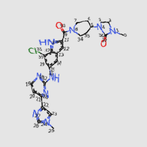 CN1CCN(C2CCN(C(=O)c3cc4cc(Nc5nccc(-c6cn(C)cn6)n5)cc(Cl)c4[nH]3)CC2)C1=O